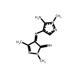 CC1=NN(C)C(=N)/C1=N\c1cnn(C)c1N